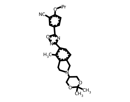 Cc1c(-c2noc(-c3ccc(OC(C)C)c(C#N)c3)n2)ccc2c1CCN(C1COC(C)(C)OC1)C2